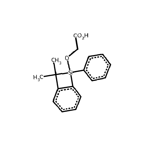 CC1(C)c2ccccc2[Si]1(OCC(=O)O)c1ccccc1